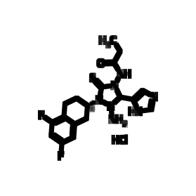 CCC(=O)NN1C(=S)N([C@H]2CCc3c(F)cc(F)cc3C2)N(N)C1c1cnc[nH]1.Cl